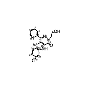 CC(=O)c1c(-c2ccccn2)nn(CCO)c(=O)c1Nc1cccc(Cl)c1